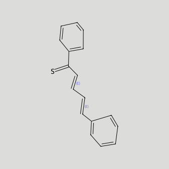 S=C(/C=C/C=C/c1ccccc1)c1ccccc1